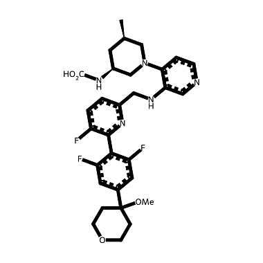 COC1(c2cc(F)c(-c3nc(CNc4cnccc4N4C[C@H](C)C[C@H](NC(=O)O)C4)ccc3F)c(F)c2)CCOCC1